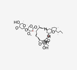 CC[C@H](C)[C@H]1OC2(CC[C@@H]1C)C[C@@H]1C/C=C(\C)[C@@H](OC3C[C@H](OC)[C@@H](OC4C[C@H](OC)[C@@H](O)[C@H](C)O4)[C@H](C)O3)[C@@H](C)/C=C/C=C3\CO[C@]4(C)[C@H](O)C(C)=C[C@@H](C(=O)O[C@@H](C1)C2)[C@]34O